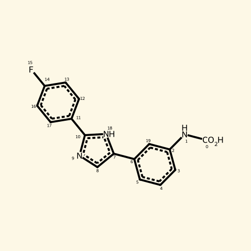 O=C(O)Nc1cccc(-c2cnc(-c3ccc(F)cc3)[nH]2)c1